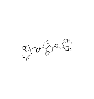 CCC1(COC2COC3C(OCC4(CC)COC4)COC23)COC1